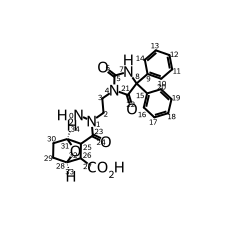 NN(CCN1C(=O)NC(c2ccccc2)(c2ccccc2)C1=O)C(=O)C1C(C(=O)O)[C@H]2CC[C@@H]1O2